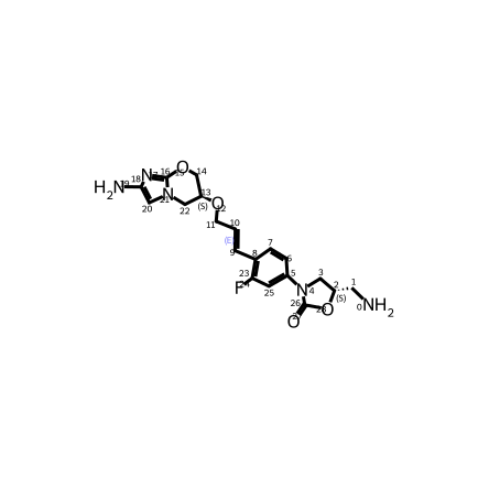 NC[C@H]1CN(c2ccc(/C=C/CO[C@@H]3COc4nc(N)cn4C3)c(F)c2)C(=O)O1